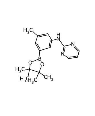 Cc1cc(Nc2ncccn2)cc(B2OC(C)(C)C(C)(C)O2)c1